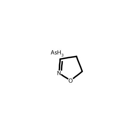 C1=NOCC1.[AsH3]